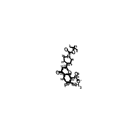 CC(C)(C)OC(=O)N1CCC(c2cc(=O)c3cc(F)c(N)c([N+](=O)[O-])c3o2)CC1